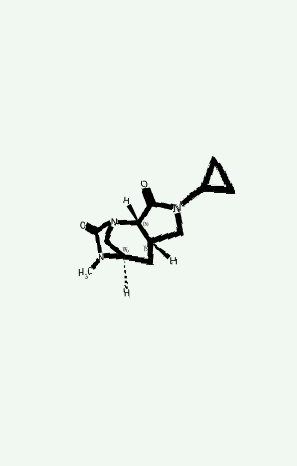 CN1C(=O)N2C[C@H]1C[C@H]1CN(C3CC3)C(=O)[C@H]12